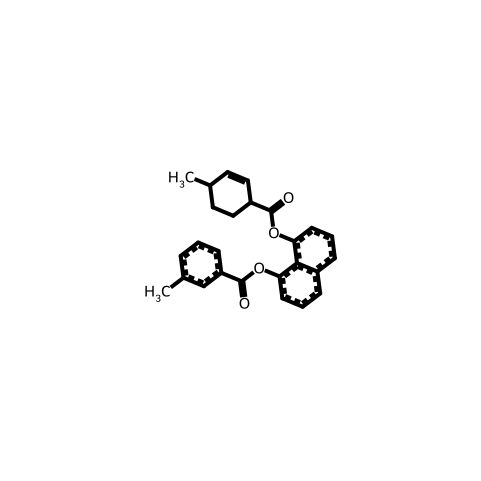 Cc1cccc(C(=O)Oc2cccc3cccc(OC(=O)C4C=CC(C)CC4)c23)c1